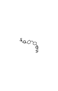 C1CC(CC2CCC(COCC3CS3)CC2)CCC1COCC1CS1